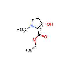 CC(C)(C)COC(=O)[C@@H]1[C@@H](O)CCN1C(=O)O